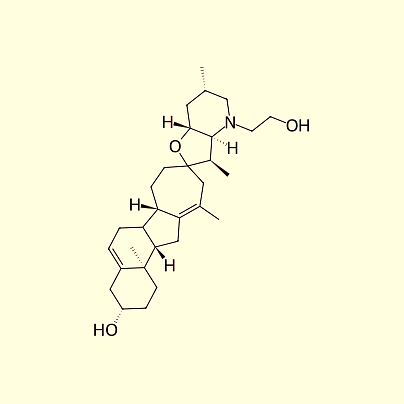 CC1=C2C[C@H]3C(CC=C4C[C@@H](O)CC[C@@]43C)[C@@H]2CCC2(C1)O[C@@H]1C[C@H](C)CN(CCO)[C@H]1[C@H]2C